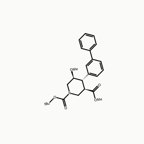 COC(=O)[C@H]1CN(C(=O)OC(C)(C)C)C[C@@H](OC)[C@@H]1c1cccc(-c2ccccc2)c1